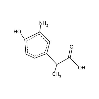 CC(C(=O)O)c1ccc(O)c(N)c1